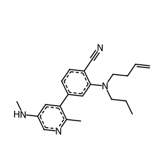 C=CCCN(CCC)c1cc(-c2cc(NC)cnc2C)ccc1C#N